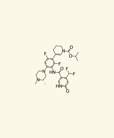 CC(C)OC(=O)N1C=C(c2c(F)cc(N3CCN(C)[C@@H](C)C3)c(NC(=O)c3c[nH]c(=O)cc3C(F)F)c2F)CCC1